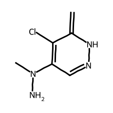 C=C1NN=CC(N(C)N)=C1Cl